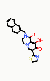 O=C1c2c(O)c(=O)c(-c3nccs3)cn2CCN1Cc1ccc2ccccc2c1